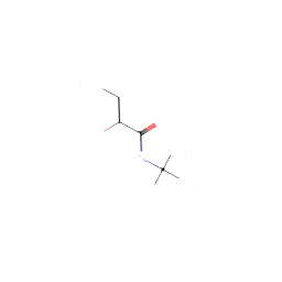 CCC(O)C(=O)NC(C)(C)C